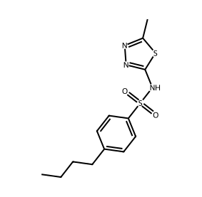 CCCCc1ccc(S(=O)(=O)Nc2nnc(C)s2)cc1